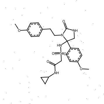 COc1ccc(CCN2C(=O)NCC2(NS(=O)(=O)CC(=O)NC2CC2)c2ccc(OC)cc2)cc1